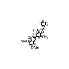 COc1cc(OC)c2c(=O)[nH]c(-c3cc(C)c(OCCN4CCOCC4)c(C)c3)cc2c1